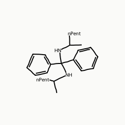 CCCCCC(C)NC(NC(C)CCCCC)(c1ccccc1)c1ccccc1